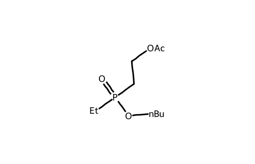 CCCCOP(=O)(CC)CCOC(C)=O